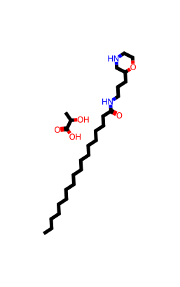 CC(O)C(=O)O.CCCCCCCCCCCCCCCCCC(=O)NCCCC1CNCCO1